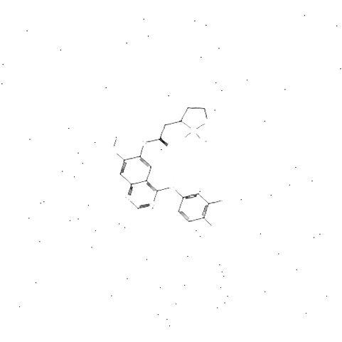 CCOc1cc2ncnc(Nc3ccc(F)c(Cl)c3)c2cc1NC(=O)CC1CCSS1(O)O